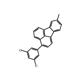 Cc1ccc2c(c1)-c1cccc3c(-c4cc(Cl)cc(Cl)c4)ccc-2c13